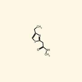 CCc1csc(CC(=O)NC)n1